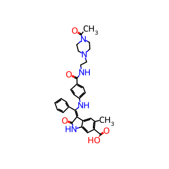 CC(=O)N1CCN(CCNC(=O)c2ccc(NC(=C3C(=O)Nc4cc(C(=O)O)c(C)cc43)c3ccccc3)cc2)CC1